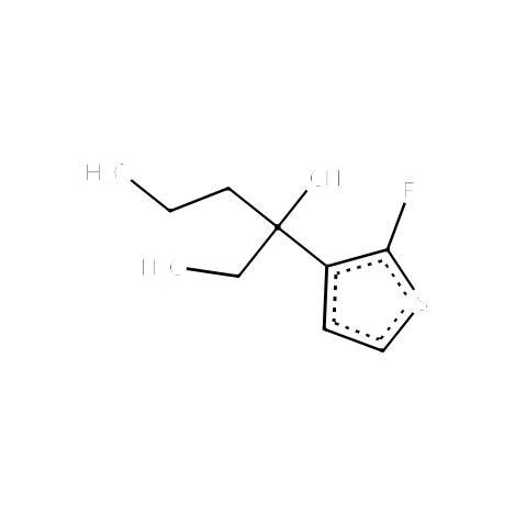 CCCC(C)(CC)c1ccsc1F